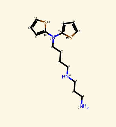 NCCCNCCCCN(c1cccs1)c1cccs1